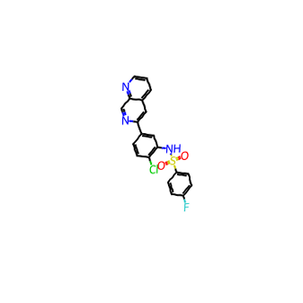 O=S(=O)(Nc1cc(-c2cc3cccnc3cn2)ccc1Cl)c1ccc(F)cc1